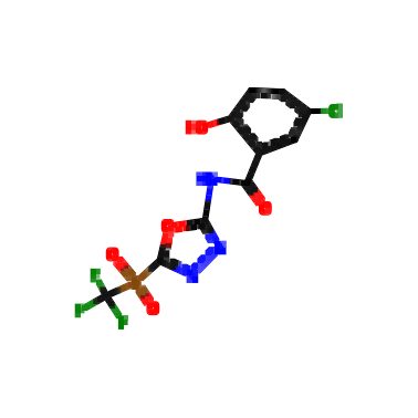 O=C(Nc1nnc(S(=O)(=O)C(F)(F)F)o1)c1cc(Cl)ccc1O